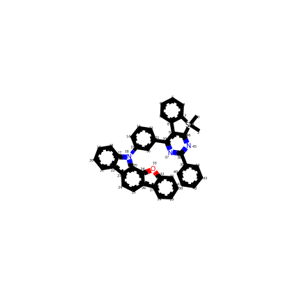 C[Si]1(C)c2ccccc2-c2c(-c3cccc(-n4c5ccccc5c5ccc6c7ccccc7oc6c54)c3)nc(-c3ccccc3)nc21